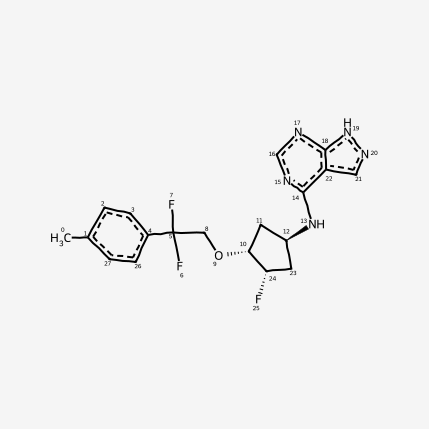 Cc1ccc(C(F)(F)CO[C@@H]2C[C@@H](Nc3ncnc4[nH]ncc34)C[C@@H]2F)cc1